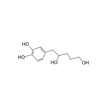 OCCCC(O)Cc1ccc(O)c(O)c1